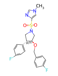 Cn1cnc(S(=O)(=O)N2C[C@@H](OCc3ccc(F)cc3)[C@H](c3ccc(F)cc3)C2)c1